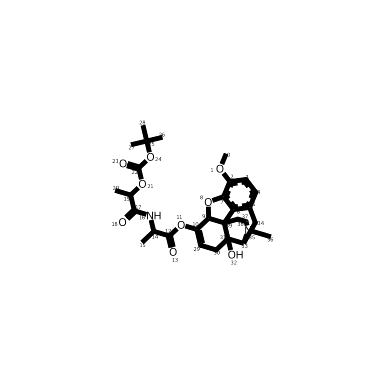 COc1ccc2c3c1OC1C(OC(=O)C(C)NC(=O)C(C)OC(=O)OC(C)(C)C)=CCC4(O)C(C2)N(C)CCC314